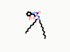 CCCCCCCCCCN(CCCCCCCCCC)CN1C(=O)NC(c2ccccc2OC)C1=O